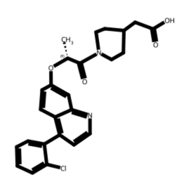 C[C@@H](Oc1ccc2c(-c3ccccc3Cl)ccnc2c1)C(=O)N1CCC(CC(=O)O)CC1